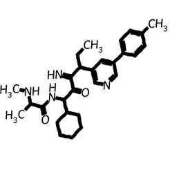 CCC(C(=N)C(=O)C(NC(=O)C(C)NC)C1CCCCC1)c1cncc(-c2ccc(C)cc2)c1